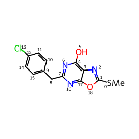 CSc1nc2c(O)nc(Cc3ccc(Cl)cc3)nc2o1